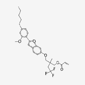 C=CC(=O)OCC(C)(COc1ccc2cc(-c3ccc(CCCCC)cc3OC)oc2c1)CC(F)(F)F